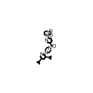 O=C(c1ccc(N2CCCS2(=O)=O)nc1)N1CCN(c2ncc(C3CC3)cc2C2CC2)CC1